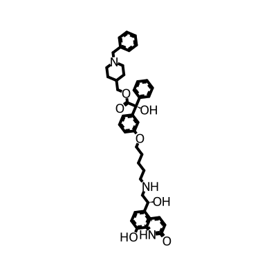 O=C(OCC1CCN(Cc2ccccc2)CC1)[C@@](O)(c1ccccc1)c1cccc(OCCCCCNC[C@H](O)c2ccc(O)c3[nH]c(=O)ccc23)c1